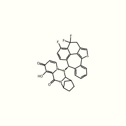 O=C1c2c(O)c(=O)ccn2N([C@@H]2c3ccccc3-c3scc4c3-c3c2ccc(F)c3C(F)(F)C4)C2C3CCC(C3)N12